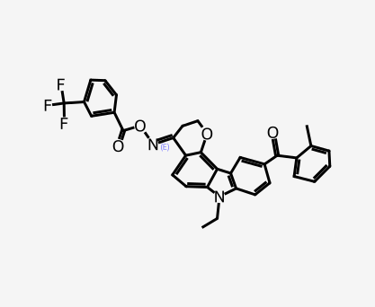 CCn1c2ccc(C(=O)c3ccccc3C)cc2c2c3c(ccc21)/C(=N/OC(=O)c1cccc(C(F)(F)F)c1)CCO3